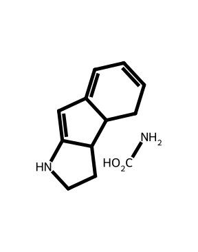 C1=CCC2C(=C1)C=C1NCCC12.NC(=O)O